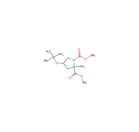 CC(C)(C)OC(=O)N1CC(O[Si](C)(C)C(C)(C)C)CC1(C)C(=O)OC(C)(C)C